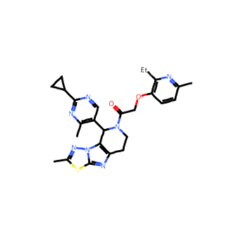 CCc1nc(C)ccc1OCC(=O)N1CCc2nc3sc(C)nn3c2C1c1cnc(C2CC2)nc1C